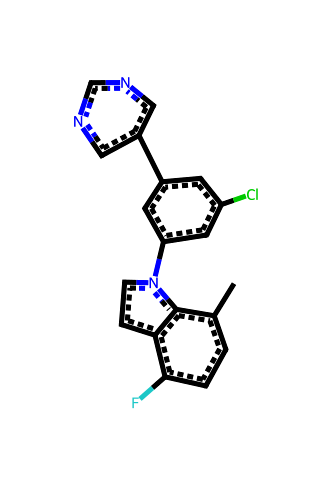 Cc1ccc(F)c2ccn(-c3cc(Cl)cc(-c4cncnc4)c3)c12